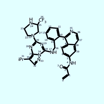 C=CC(=O)Nc1ccc2c(-c3ccccc3CNc3nc(N4CCNC(C(F)(F)F)C4)nc4c(C(C)C)cnn34)nccc2c1